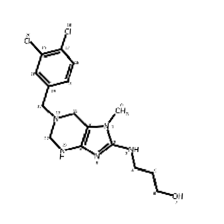 Cn1c(NCCCO)nc2c1CN(Cc1ccc(Cl)c(Cl)c1)CN2